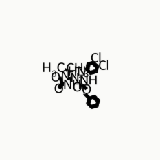 CC(C)N1C(=O)C(=O)NC1=[N+]=C(NC(=O)OCc1ccccc1)Nc1ccc(Cl)c(Cl)c1